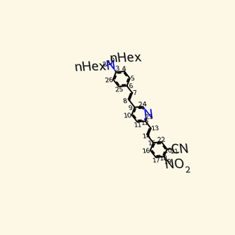 CCCCCCN(CCCCCC)c1ccc(C=Cc2ccc(C=Cc3ccc([N+](=O)[O-])c(C#N)c3)nc2)cc1